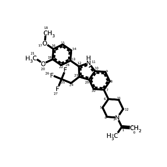 C=C(C)N1CCC(c2ccc3[nH]c(-c4ccc(OC)c(OC)c4)c(CC(F)(F)F)c3c2)CC1